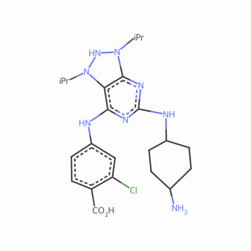 CC(C)N1NN(C(C)C)c2c(Nc3ccc(C(=O)O)c(Cl)c3)nc(NC3CCC(N)CC3)nc21